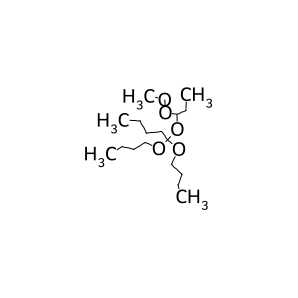 CCCCOC(CCCC)(OCCCC)OC(CC)OOC